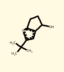 CC(C)(C)c1cc2c(s1)CCC2O